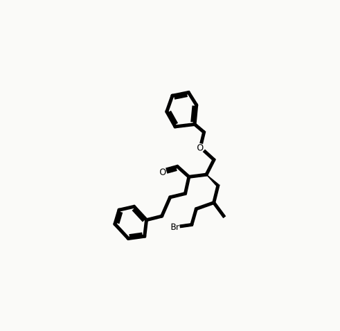 CC(CCBr)C[C@H](COCc1ccccc1)C(C=O)CCCc1ccccc1